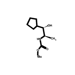 C[C@@H](NC(=O)OC(C)(C)C)[C@@H](O)C1CCCC1